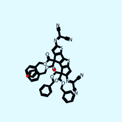 N#CC(C#N)=NC1=Cc2sc3c(c2C1(C(=O)OCc1ccccc1)C(=O)OCc1ccccc1)C(C(=O)OCc1ccccc1)(C(=O)OCc1ccccc1)c1cc(N=C(C#N)C#N)sc1-3